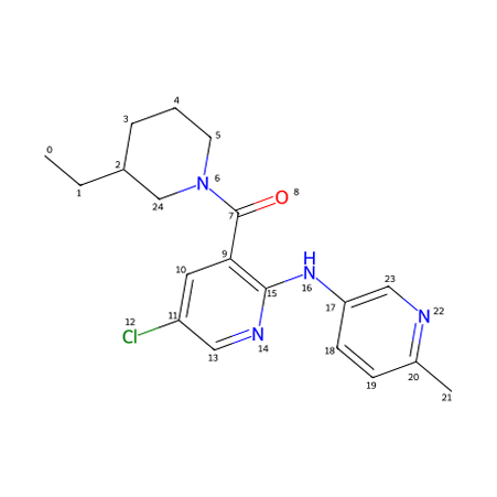 CCC1CCCN(C(=O)c2cc(Cl)cnc2Nc2ccc(C)nc2)C1